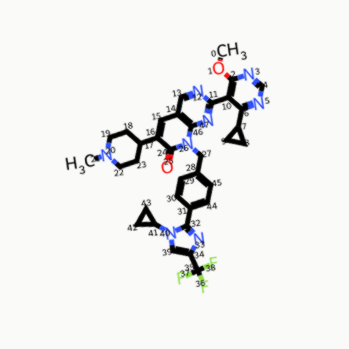 COc1ncnc(C2CC2)c1-c1ncc2cc(C3CCN(C)CC3)c(=O)n(Cc3ccc(-c4nc(C(F)(F)F)cn4C4CC4)cc3)c2n1